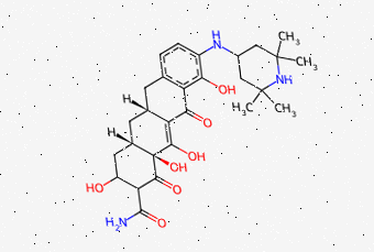 CC1(C)CC(Nc2ccc3c(c2O)C(=O)C2=C(O)[C@]4(O)C(=O)C(C(N)=O)C(O)C[C@@H]4C[C@@H]2C3)CC(C)(C)N1